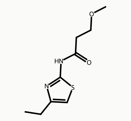 CCc1csc(NC(=O)CCOC)n1